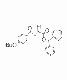 CC(C)COc1ccc(C(=O)CNC(=O)OC(c2ccccc2)c2ccccc2)cc1